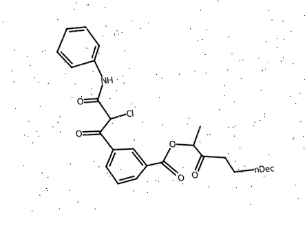 CCCCCCCCCCCCC(=O)C(C)OC(=O)c1cccc(C(=O)C(Cl)C(=O)Nc2ccccc2)c1